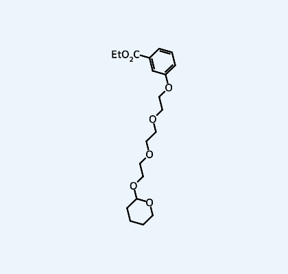 CCOC(=O)c1cccc(OCCOCCOCCOC2CCCCO2)c1